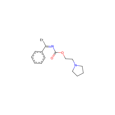 CC/C(=N/C(=O)OCCN1CCCC1)c1ccccc1